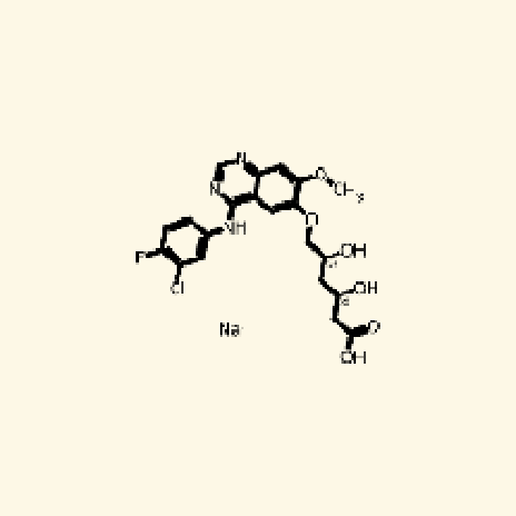 COc1cc2ncnc(Nc3ccc(F)c(Cl)c3)c2cc1OC[C@@H](O)C[C@@H](O)CC(=O)O.[Na]